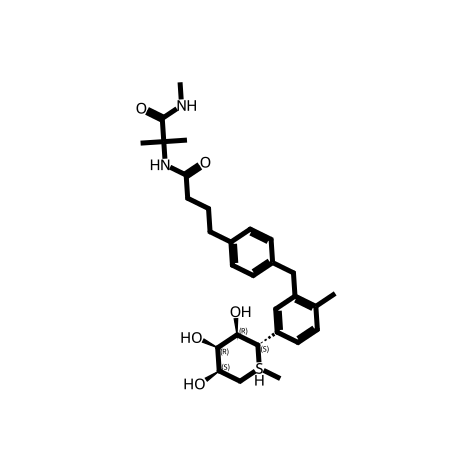 CNC(=O)C(C)(C)NC(=O)CCCc1ccc(Cc2cc([C@H]3[C@H](O)[C@H](O)[C@H](O)C[SH]3C)ccc2C)cc1